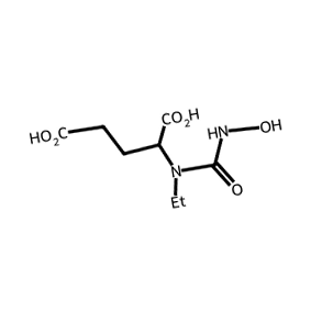 CCN(C(=O)NO)C(CCC(=O)O)C(=O)O